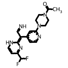 CC(=O)N1CCN(c2cc(/C(C=N)=C3\N=C(C(F)F)C=CN3)ccn2)CC1